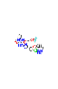 CC(Cn1cnnn1)Oc1cc(-c2cnc(Nc3cn(C4(N5CCOCC5)CCCCC4)nc3OCCCOCC(F)F)nc2)ccc1Cl